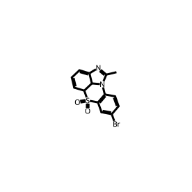 CC1=NC2=CC=CC3C2N1c1ccc(Br)cc1S3(=O)=O